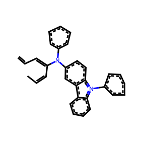 C=C/C=C(\C=C/C)N(c1ccccc1)c1ccc2c(c1)c1ccccc1n2-c1ccccc1